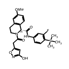 COc1ccc2c(c1)CCN(C(=O)Cc1cc(O)no1)[C@H]2C(=O)Nc1ccc([Si](C)(C)C)c(F)c1